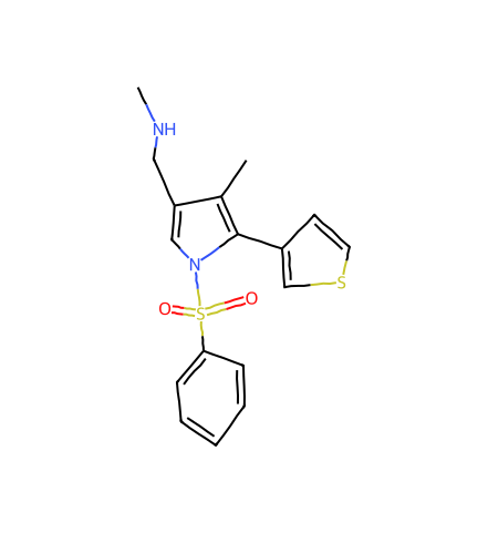 CNCc1cn(S(=O)(=O)c2ccccc2)c(-c2ccsc2)c1C